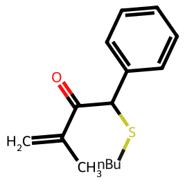 C=C(C)C(=O)C(SCCCC)c1ccccc1